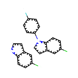 Clc1ccc2[nH]ccc2c1.Fc1ccc(-n2ccc3cc(Cl)ccc32)cc1